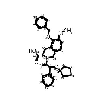 COc1ccc2c(c1OCc1ccccc1)C[C@@H](C(=O)O)N(C(=O)C(OC1(C)CCCC1)c1ccccc1)C2